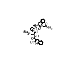 CCc1nc2ccccc2cc1C(=O)N[C@@H](CSSC(C)(C)C)C(=O)N1CCC[C@H]1C(=O)N[C@@H](Cc1ccccc1)C(=O)NCC(N)=O